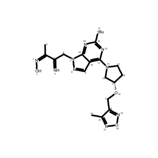 C/C(=N/O)C(=N)Cn1ncc2c(N3CC[C@H](OCc4nonc4C)C3)nc(C(C)(C)C)nc21